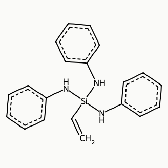 C=C[Si](Nc1ccccc1)(Nc1ccccc1)Nc1ccccc1